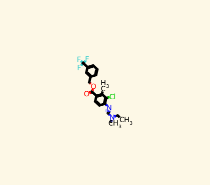 CCN(C)/C=N/c1ccc(C(=O)OCc2cccc(C(F)(F)F)c2)c(C)c1Cl